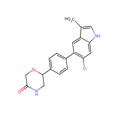 O=C1COC(c2ccc(-c3cc4c(C(=O)O)c[nH]c4cc3Cl)cc2)CN1